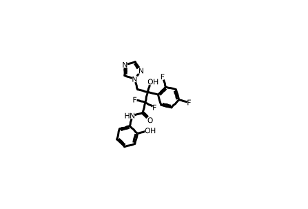 O=C(Nc1ccccc1O)C(F)(F)C(O)(Cn1cncn1)c1ccc(F)cc1F